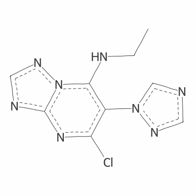 CCNc1c(-n2cncn2)c(Cl)nc2ncnn12